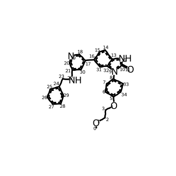 COCCOc1ccc(-n2c(=O)[nH]c3ccc(-c4cncc(NCc5ccccc5)c4)cc32)cc1